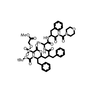 COC(=O)COS(=O)(=O)CC(=O)OC(CC(Cc1ccccc1)C(=O)NC(C(=O)NC(Cc1ccccc1)C(=O)NC(=O)N1CCOCC1)C(C)C)C(Cc1ccccc1)NC(=O)OC(C)(C)C